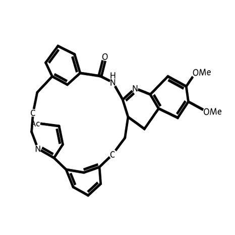 COc1cc2c(cc1OC)N=C1NC(=O)c3cccc(c3)CCC/N=C(\C=C/C(C)=O)c3cccc(c3)CCC1C2